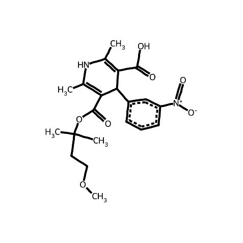 COCCC(C)(C)OC(=O)C1=C(C)NC(C)=C(C(=O)O)C1c1cccc([N+](=O)[O-])c1